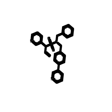 C=CC(c1cccnc1)S(=O)(=O)N(Cc1ccccc1)Cc1ccc(-c2cccnc2)cc1